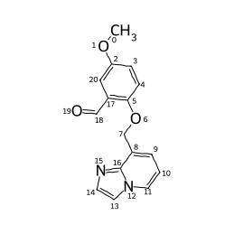 COc1ccc(OCc2cccn3ccnc23)c(C=O)c1